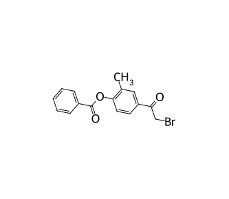 Cc1cc(C(=O)CBr)ccc1OC(=O)c1ccccc1